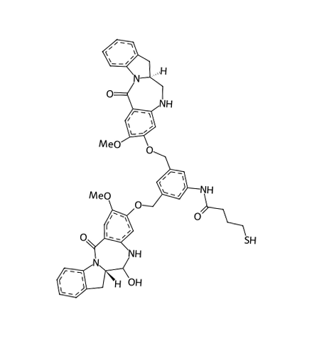 COc1cc2c(cc1OCc1cc(COc3cc4c(cc3OC)C(=O)N3c5ccccc5C[C@H]3C(O)N4)cc(NC(=O)CCCS)c1)NC[C@@H]1Cc3ccccc3N1C2=O